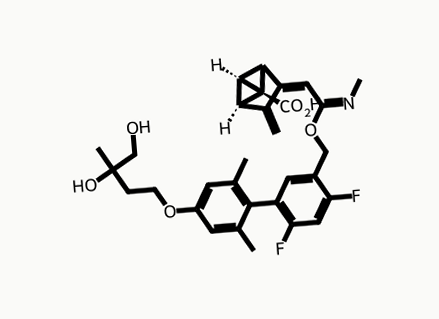 C=C1/C(=C\C(=N/C)OCc2cc(-c3c(C)cc(OCCC(C)(O)CO)cc3C)c(F)cc2F)C2[C@@H]3[C@H]1[C@@]23C(=O)O